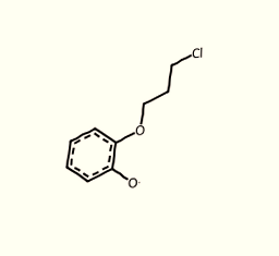 [O]c1ccccc1OCCCCl